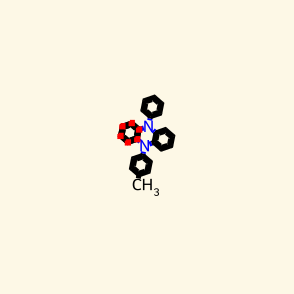 Cc1ccc(N(c2ccccc2)c2ccccc2N(c2ccccc2)c2ccccc2)cc1